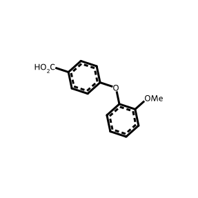 COc1ccccc1Oc1ccc(C(=O)O)cc1